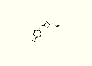 O=CNC1CC(Oc2ccc(C(F)(F)F)cc2)C1